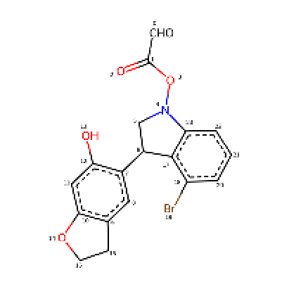 O=CC(=O)ON1CC(c2cc3c(cc2O)OCC3)c2c(Br)cccc21